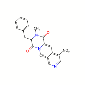 CN1C(=O)C(Cc2ccccc2)N(C)C(=O)/C1=C/c1ccncc1[N+](=O)[O-]